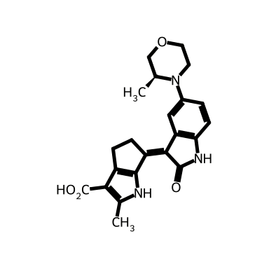 Cc1[nH]c2c(c1C(=O)O)CC/C2=C1/C(=O)Nc2ccc(N3CCOC[C@@H]3C)cc21